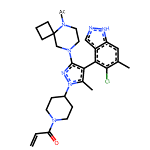 C=CC(=O)N1CCC(n2nc(N3CCN(C(C)=O)C4(CCC4)C3)c(-c3c(Cl)c(C)cc4[nH]ncc34)c2C)CC1